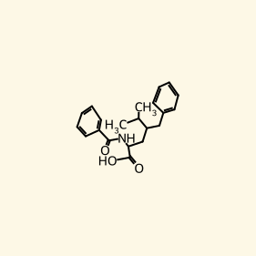 CC(C)C(Cc1ccccc1)CC(NC(=O)c1ccccc1)C(=O)O